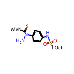 CCCCCCCCS(=O)(=O)Nc1ccc(N(N)C(=S)NC)cc1